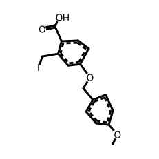 COc1ccc(COc2ccc(C(=O)O)c(CI)c2)cc1